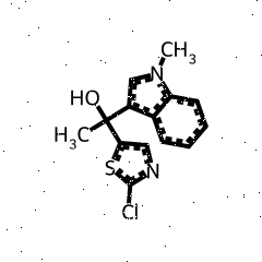 Cn1cc(C(C)(O)c2cnc(Cl)s2)c2ccccc21